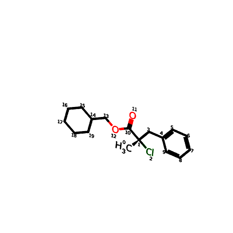 C[C@](Cl)(Cc1ccccc1)C(=O)OCC1CCCCC1